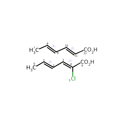 C/C=C/C=C(\Cl)C(=O)O.C/C=C/C=C/C(=O)O